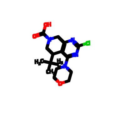 CC(C)(C)C1CN(C(=O)O)Cc2nc(Cl)nc(N3CCOCC3)c21